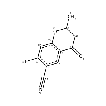 CC1CC(=O)c2cc(C#N)c(F)cc2O1